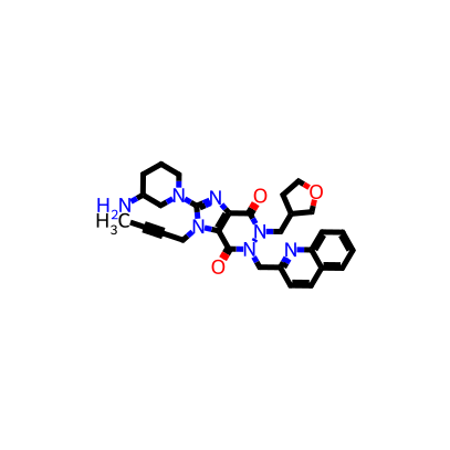 CC#CCn1c(N2CCCC(N)C2)nc2c(=O)n(CC3CCOC3)n(Cc3ccc4ccccc4n3)c(=O)c21